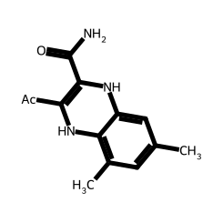 CC(=O)C1=C(C(N)=O)Nc2cc(C)cc(C)c2N1